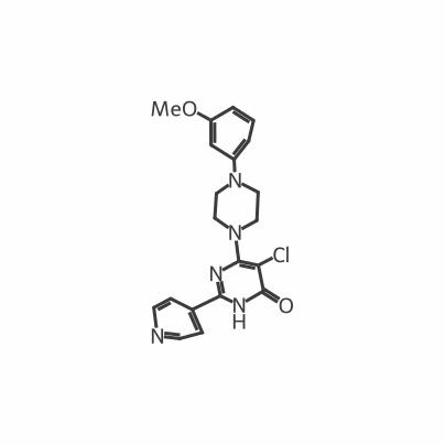 COc1cccc(N2CCN(c3nc(-c4ccncc4)[nH]c(=O)c3Cl)CC2)c1